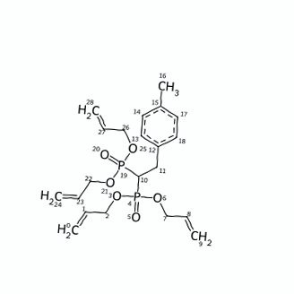 C=CCOP(=O)(OCC=C)C(Cc1ccc(C)cc1)P(=O)(OCC=C)OCC=C